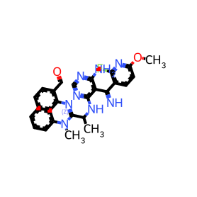 COc1ccc(C(=N)c2c(N)ncnc2NC(C)/C(=N/c2ccccc2C=O)N(C)c2ccccc2)c(F)n1